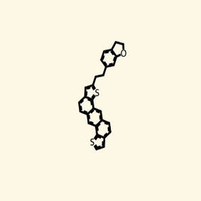 c1cc2ccc3cc4c(ccc5cc(CCc6ccc7c(c6)OCC7)sc54)cc3c2s1